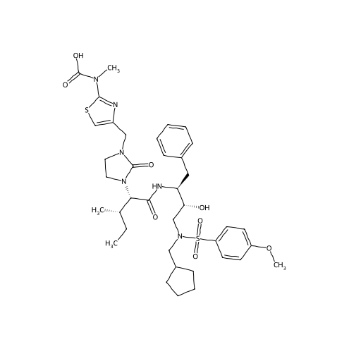 CC[C@H](C)[C@@H](C(=O)N[C@@H](Cc1ccccc1)[C@H](O)CN(CC1CCCC1)S(=O)(=O)c1ccc(OC)cc1)N1CCN(Cc2csc(N(C)C(=O)O)n2)C1=O